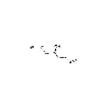 C=CCC[C@H](O)COCCCC